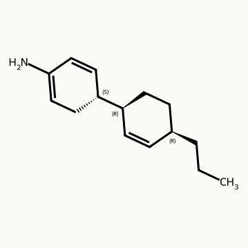 CCC[C@H]1C=C[C@@H]([C@H]2C=CC(N)=CC2)CC1